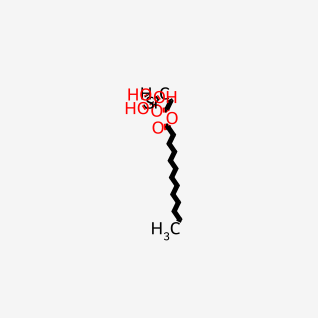 C=CC(OC(=O)CCCCCCCCCCCC)O[Si](O)(O)O